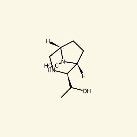 CC(O)[C@H]1NC[C@@H]2CC[C@H]1N2C(=O)O